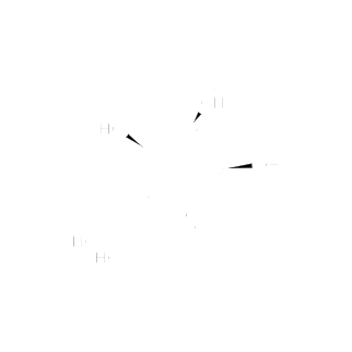 OCC1(CO)O[C@H](O)[C@H](O)[C@@H]1O